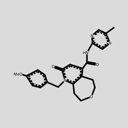 COc1ccc(Cn2c3c(c(C(=O)Nc4cnc(C)cn4)cc2=O)CCOCC3)cc1